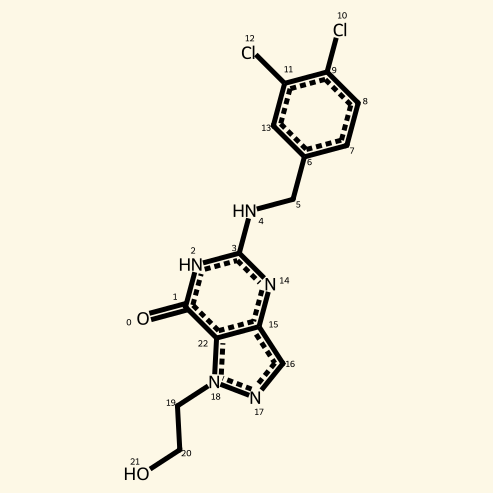 O=c1[nH]c(NCc2ccc(Cl)c(Cl)c2)nc2cnn(CCO)c12